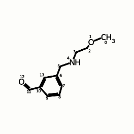 COCCNCc1cccc(C=O)c1